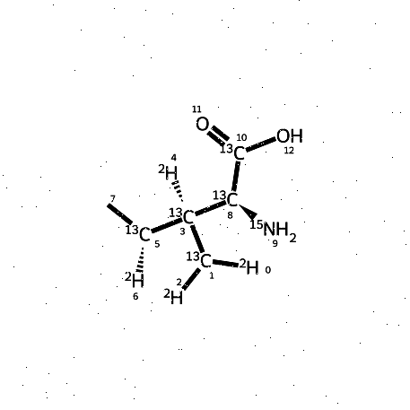 [2H][13CH]([2H])[13C@@]([2H])([13C@H]([2H])C)[13C@H]([15NH2])[13C](=O)O